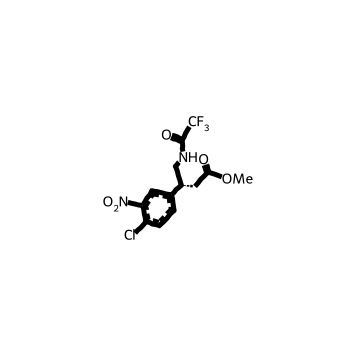 COC(=O)C[C@@H](CNC(=O)C(F)(F)F)c1ccc(Cl)c([N+](=O)[O-])c1